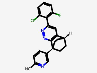 N#Cc1ccc([C@]23CC[C@H](CC2)c2cc(-c4c(F)cccc4Cl)nnc23)cn1